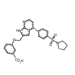 O=C(O)c1cccc(OCc2cc3c(-c4ccc(S(=O)(=O)N5CCCC5)cc4)ccnc3[nH]2)c1